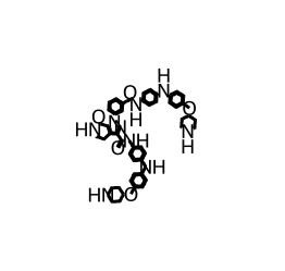 O=C(Nc1ccc(Nc2ccc(OC3CCNCC3)cc2)cc1)c1cccc(-n2nc(C(=O)Nc3ccc(Nc4ccc(OC5CCNCC5)cc4)cc3)c3c2C(=O)NCC3)c1